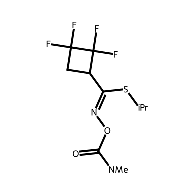 CNC(=O)O/N=C(\SC(C)C)C1CC(F)(F)C1(F)F